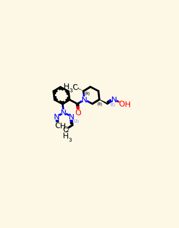 C=NN(/N=C\C)c1ccccc1C(=O)N1C[C@H](/C=N/O)CC[C@H]1C